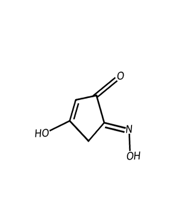 O=C1C=C(O)CC1=NO